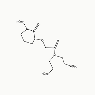 CCCCCCCCCCCCN(CCCCCCCCCCCC)C(=O)COC1CCCN(CCCCCCCC)C1=O